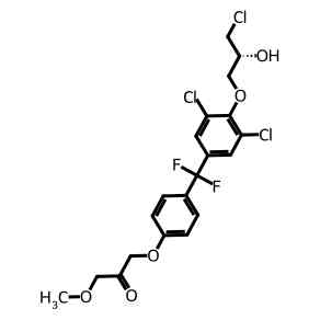 COCC(=O)COc1ccc(C(F)(F)c2cc(Cl)c(OC[C@@H](O)CCl)c(Cl)c2)cc1